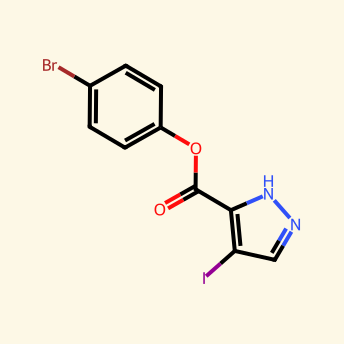 O=C(Oc1ccc(Br)cc1)c1[nH]ncc1I